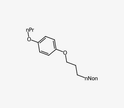 CCCCCCCCCCCCOc1ccc(OCCC)cc1